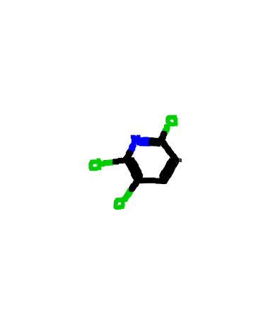 Clc1[c]cc(Cl)c(Cl)n1